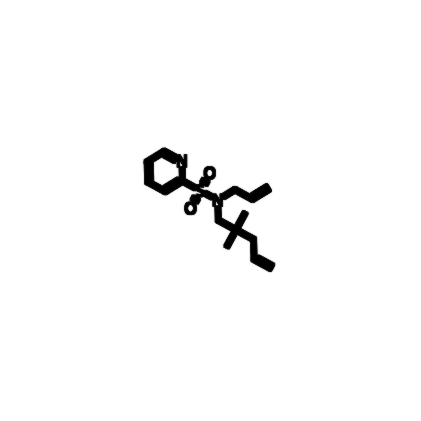 C=CCN(CC(C)(C)CC=C)S(=O)(=O)c1ccccn1